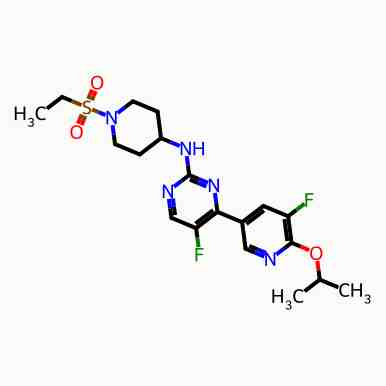 CCS(=O)(=O)N1CCC(Nc2ncc(F)c(-c3cnc(OC(C)C)c(F)c3)n2)CC1